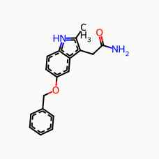 Cc1[nH]c2ccc(OCc3ccccc3)cc2c1CC(N)=O